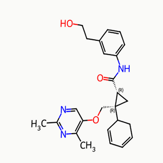 Cc1ncc(OC[C@@]2(C3C=CC=CC3)C[C@H]2C(=O)Nc2cccc(CCO)c2)c(C)n1